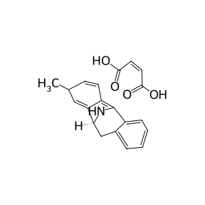 CC1C=CC2=C3N[C@@H](Cc4ccccc43)C2=C1.O=C(O)/C=C\C(=O)O